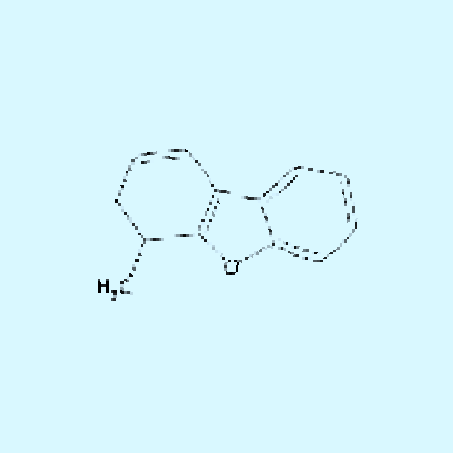 CC1CC=Cc2c1oc1ccccc21